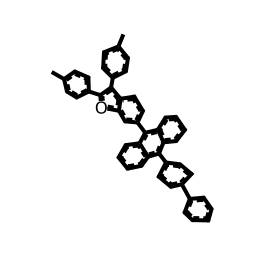 Cc1ccc(-c2oc3cc(-c4c5ccccc5c(-c5ccc(-c6ccccc6)cc5)c5ccccc45)ccc3c2-c2ccc(C)cc2)cc1